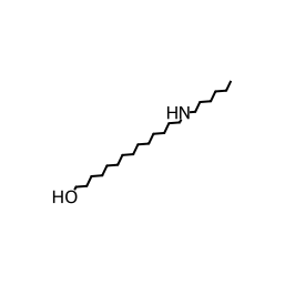 CCCCCCNCCCCCCCCCCCCCCO